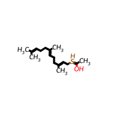 CC(C)=CCCC(C)=CCCC(C)=CC[SH]=C(C)O